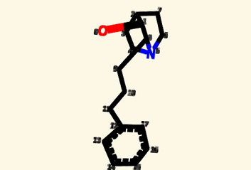 O=C1C2CCN(CC2)C1CCCc1ccccc1